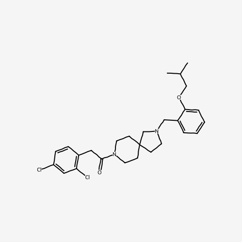 CC(C)COc1ccccc1CN1CCC2(CCN(C(=O)Cc3ccc(Cl)cc3Cl)CC2)C1